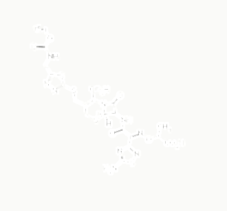 CC(ON=C(C(=O)NC1C(=O)N2C(C(=O)O)=C(CSc3nnc(CNC(=O)OC(C)(C)C)s3)CS[C@@H]12)c1nsc(N)n1)C(=O)O